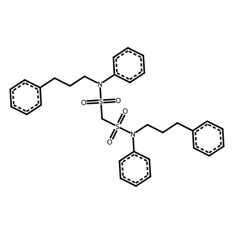 O=S(=O)(CS(=O)(=O)N(CCCc1ccccc1)c1ccccc1)N(CCCc1ccccc1)c1ccccc1